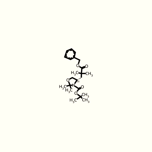 CC(C)(C)OC(=O)N1[C@@H](CC(C)(C)C(=O)OCc2ccccc2)COC1(C)C